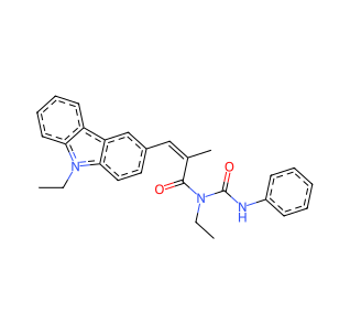 CCN(C(=O)Nc1ccccc1)C(=O)/C(C)=C\c1ccc2c(c1)c1ccccc1n2CC